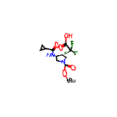 CC(C)(C)OC(=O)N1CC[C@H](NC(=O)C2CC2)C1.O=C(O)C(F)(F)F